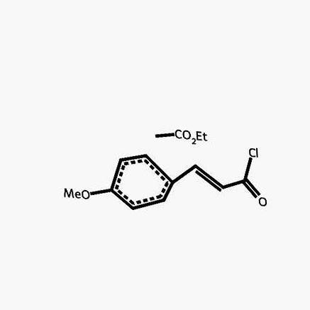 CCOC(C)=O.COc1ccc(C=CC(=O)Cl)cc1